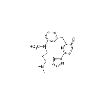 CN(C)CCCN(C(=O)O)c1cccc(Cn2nc(-c3nccs3)ccc2=O)c1